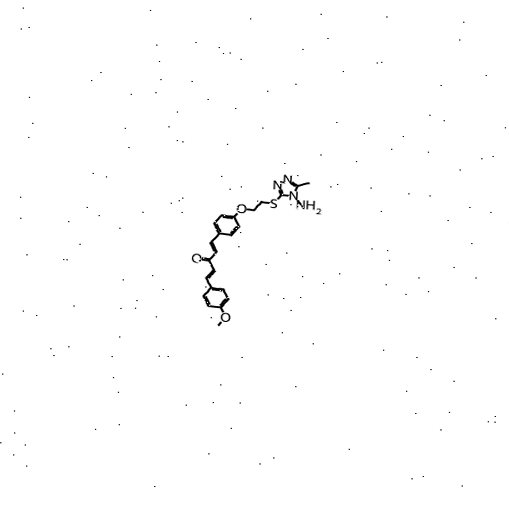 COc1ccc(C=CC(=O)C=Cc2ccc(OCCSc3nnc(C)n3N)cc2)cc1